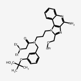 CCCOCc1nc2c(N)nc3ccccc3c2n1CCCN(Cc1cccc(OC(C)(C)C(=O)O)c1)C(=O)CN(CC)CC